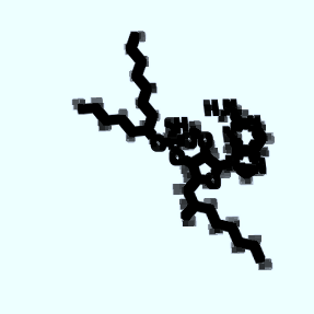 CCCCCCCC(CCCCC)OP(=O)(S)OC1C(CC(C)CCCCCC)OC(n2cnc3cnc(N)nc32)C1OC